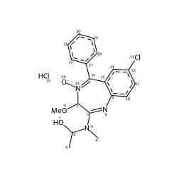 COC1C(N(C)C(C)O)=Nc2ccc(Cl)cc2C(c2ccccc2)=[N+]1[O-].Cl